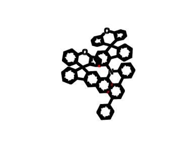 c1ccc(-c2ccc(-c3ccccc3N(c3cccc4c3-c3ccccc3C43c4ccccc4Oc4ccccc43)c3cccc4cc5c(cc34)C3(c4ccccc4Oc4ccccc43)c3ccccc3-5)cc2)cc1